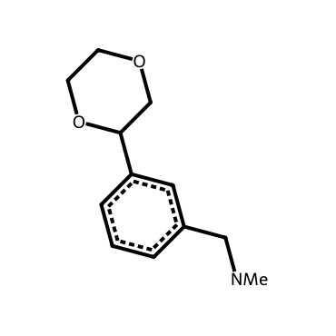 CNCc1cccc(C2COCCO2)c1